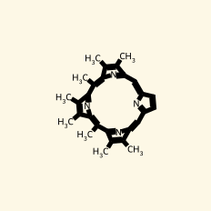 CC1=C(C)C2=NC1=CC1=NC(=CC3=NC(=C(C)C4=NC(=C2C)C(C)=C4C)C(C)=C3C)C=C1